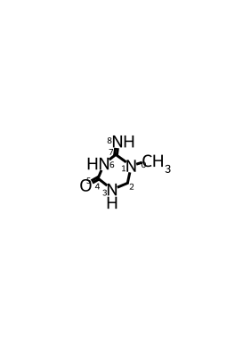 CN1CNC(=O)NC1=N